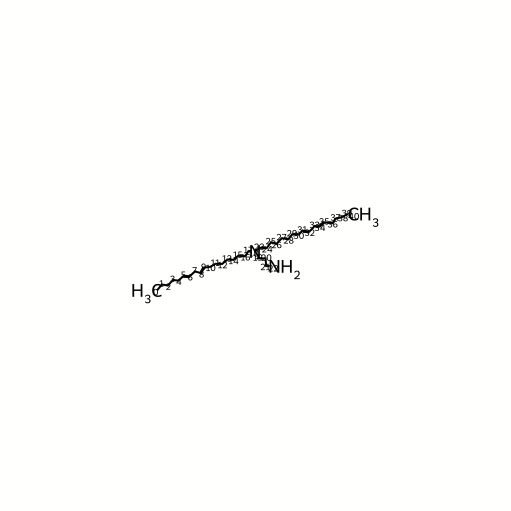 CCCCC/C=C/C/C=C/CCCCCCCCN(CCCN)CCCCCCCC/C=C/C/C=C/CCCCC